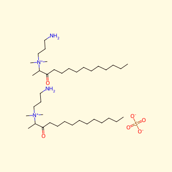 CCCCCCCCCCCC(=O)C(C)[N+](C)(C)CCCN.CCCCCCCCCCCC(=O)C(C)[N+](C)(C)CCCN.O=S(=O)([O-])[O-]